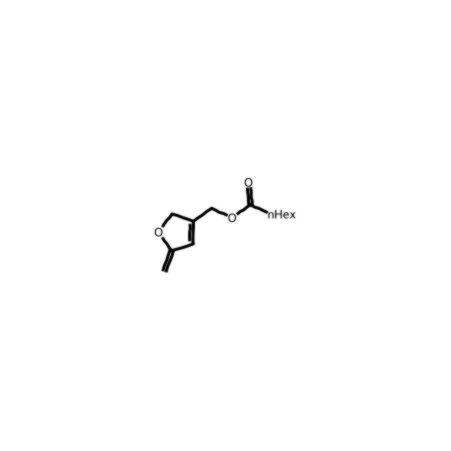 C=C1C=C(COC(=O)CCCCCC)CO1